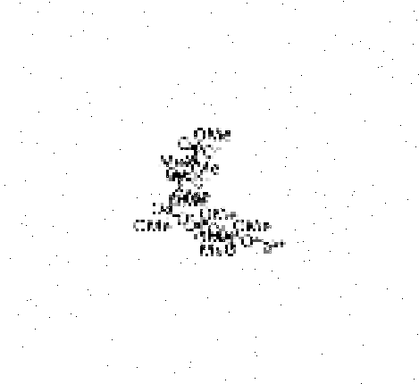 COP(=O)([O-])OC.COP(=O)([O-])OC.COP(=O)([O-])OC.COP(=O)([O-])OC.COP(=O)([O-])OC.[Ta+5]